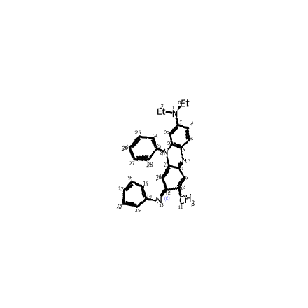 CCN(CC)c1ccc2nc3cc(C)/c(=N/c4ccccc4)cc-3n(-c3ccccc3)c2c1